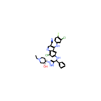 CCN1CC[C@@H](n2cc(C(Nc3cc(Cl)c4ncc(C#N)c(Nc5ccc(F)c(Cl)c5)c4c3)c3ccccc3)nn2)[C@H](O)C1